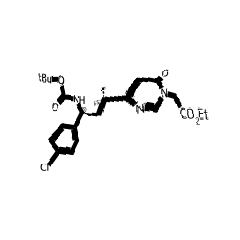 CCOC(=O)Cn1cnc([C@@H](C)C[C@H](NC(=O)OC(C)(C)C)c2ccc(Cl)cc2)cc1=O